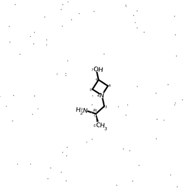 C[C@@H](N)CN1CC(O)C1